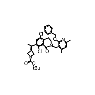 CC(=C1CN(C(=O)OC(C)(C)C)C1)c1cc(Cl)c2c(c1Cl)C(=O)N(Cc1c(C)cc(C)nc1OCc1ccccc1)CC2